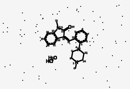 CN1CCN(c2ccccc2C=C2C(=O)N(C)c3ccccc32)CC1.Cl.O